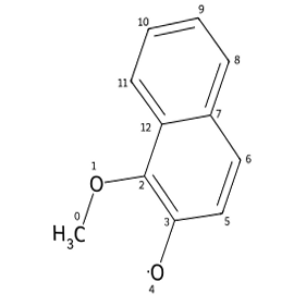 COc1c([O])ccc2ccccc12